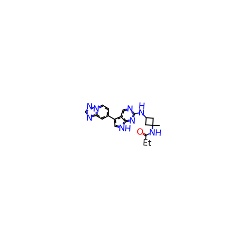 CCC(=O)NC1(C)CC(Nc2ncc3c(-c4ccn5ncnc5c4)c[nH]c3n2)C1